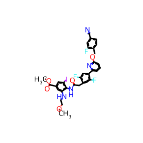 COCCNc1cc(C(=O)OC)cc(I)c1NC(=O)Cc1cc(F)c(-c2cccc(OCc3ccc(C#N)cc3F)n2)cc1F